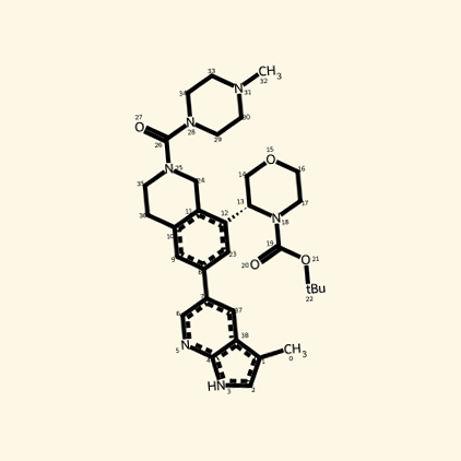 Cc1c[nH]c2ncc(-c3cc4c(c([C@@H]5COCCN5C(=O)OC(C)(C)C)c3)CN(C(=O)N3CCN(C)CC3)CC4)cc12